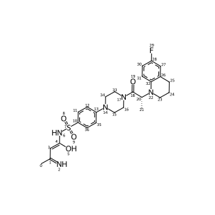 CC(=N)/C=C(\O)NS(=O)(=O)c1ccc(N2CCN(C(=O)[C@@H](C)N3CCCc4cc(F)ccc43)CC2)cc1